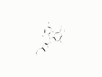 COC(=O)C[C@@](Nc1nc2c(s1)CCCC2)(c1cc(F)cc(C(F)(F)F)c1)c1ccc(O)cn1